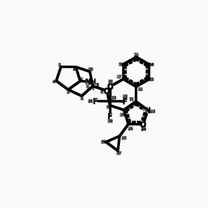 NC1C2CCC1CC(OCc1c(-c3ccccc3OC(F)(F)F)noc1C1CC1)C2